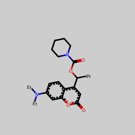 CCN(CC)c1ccc2c(C(OC(=O)N3CCCCC3)C(C)C)cc(=O)oc2c1